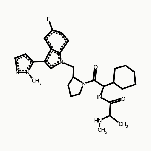 CNC(C)C(=O)NC(C(=O)N1CCCC1Cn1cc(-c2ccnn2C)c2cc(F)ccc21)C1CCCCC1